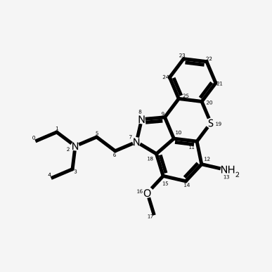 CCN(CC)CCn1nc2c3c(c(N)cc(OC)c31)Sc1ccccc1-2